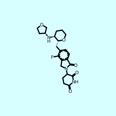 O=C1CCC(N2Cc3c(ccc(C[C@H]4OCCC[C@@H]4N[C@H]4CCOC4)c3F)C2=O)C(=O)N1